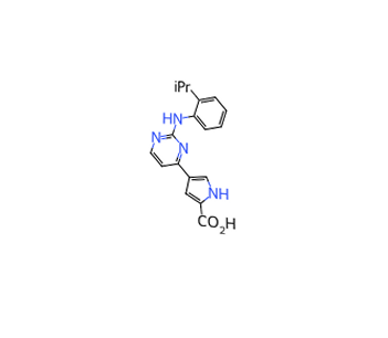 CC(C)c1ccccc1Nc1nccc(-c2c[nH]c(C(=O)O)c2)n1